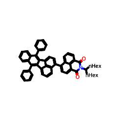 CCCCCCC(CCCCCC)N1C(=O)c2cccc3c(-c4ccc5c6c(cccc46)-c4c-5c(-c5ccccc5)c5ccccc5c4-c4ccccc4)ccc(c23)C1=O